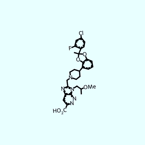 COC(C)Cn1c(CN2CCC(c3cccc4c3OC(C)(c3ccc(Cl)cc3F)O4)CC2)nc2cc(C(=O)O)nnc21